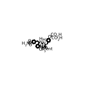 CCCCCNC(=O)[C@H](Cc1ccc(OC(C(=O)O)C(=O)O)cc1)NC(=O)NC(Cc1ccc(S(N)(=O)=O)cc1)c1cccc(C(F)(F)F)c1